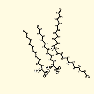 CCCCCCCCCCCCC(S)C(=O)[O-].CCCCCCCCCCCCC(S)C(=O)[O-].CCCCCCCCCCC[CH2][Sn+2][CH2]CCCCCCCCCCC